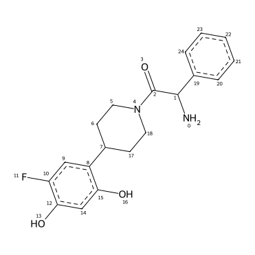 NC(C(=O)N1CCC(c2cc(F)c(O)cc2O)CC1)c1ccccc1